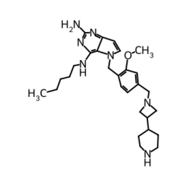 CCCCCNc1nc(N)nc2ccn(Cc3ccc(CN4CC(C5CCNCC5)C4)cc3OC)c12